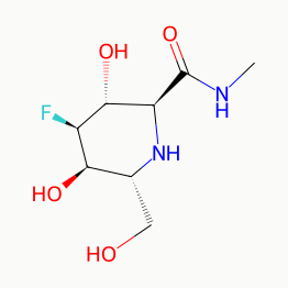 CNC(=O)[C@H]1N[C@H](CO)[C@@H](O)[C@@H](F)[C@@H]1O